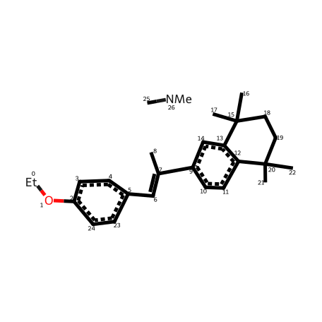 CCOc1ccc(C=C(C)c2ccc3c(c2)C(C)(C)CCC3(C)C)cc1.CNC